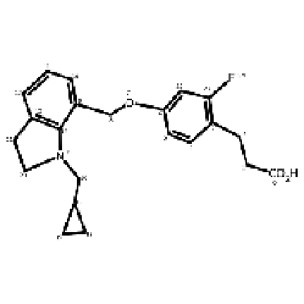 O=C(O)CCc1ccc(OCc2cccc3c2N(CC2CC2)CC3)cc1F